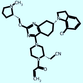 C=CC(=O)N1CCN(c2nc(OC[C@@H]3CCCN3C)nc3c2CC[C@@H](N2CCc4cccc(Cl)c42)C3)C[C@@H]1CC#N